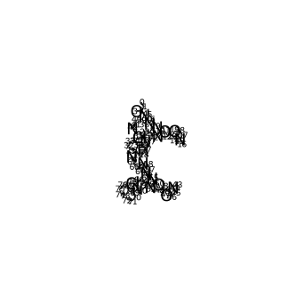 C=CC(=O)N1CCN(c2nc(OC[C@H]3CN(C)CCO3)nc3c2CCN(c2cccc4cccc(Cl)c24)C3)C[C@@H]1CC#N.CN1CCO[C@@H](COc2nc3c(c(N4CCN[C@@H](CC#N)C4)n2)CCN(c2cccc4cccc(Cl)c24)C3)C1